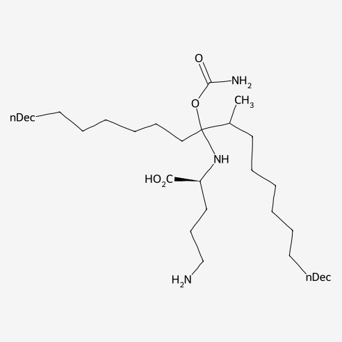 CCCCCCCCCCCCCCCCC(C)C(CCCCCCCCCCCCCCCC)(N[C@@H](CCCN)C(=O)O)OC(N)=O